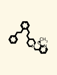 COc1ncccc1CN1CCC(CCc2ccccc2CCc2ccccc2)CC1